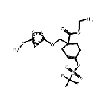 CCOC(=O)C1(COc2nsc(SC)n2)CC=C(OS(=O)(=O)C(F)(F)F)CC1